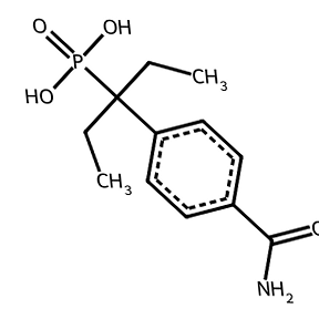 CCC(CC)(c1ccc(C(N)=O)cc1)P(=O)(O)O